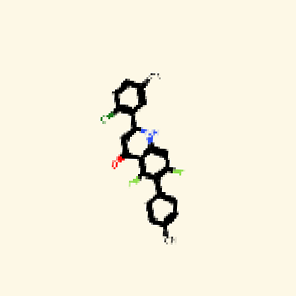 N#Cc1ccc(-c2c(F)cc3[nH]c(-c4cc(C#N)ccc4Cl)cc(=O)c3c2F)cc1